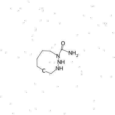 NC(=O)N1CCCCCCNN1